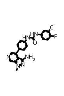 Cn1nc(N)c2c(-c3ccc(NC(=O)Nc4ccc(F)c(Cl)c4)cc3)cncc21